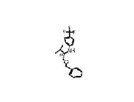 CC(C)[C@H](COCc1ccccc1)Nc1ccc(C(F)(F)F)cc1